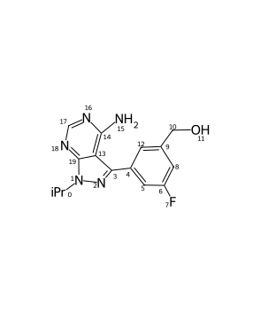 CC(C)n1nc(-c2cc(F)cc(CO)c2)c2c(N)ncnc21